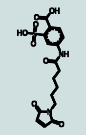 O=C(CCCCCN1C(=O)C=CC1=O)Nc1ccc(C(=O)O)c(S(=O)(=O)O)c1